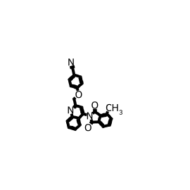 Cc1cccc2c1C(=O)N(c1cc(COc3ccc(C#N)cc3)nc3ccccc13)C2=O